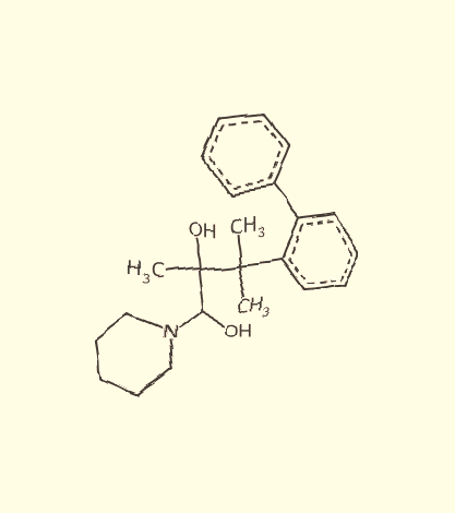 CC(C)(c1ccccc1-c1ccccc1)C(C)(O)C(O)N1CCCCC1